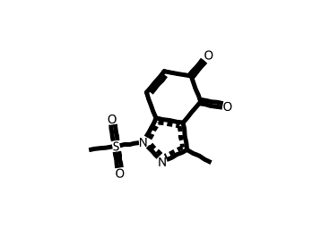 Cc1nn(S(C)(=O)=O)c2c1C(=O)C(=O)C=C2